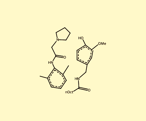 CCCCCCCCC(=O)NCc1ccc(O)c(OC)c1.Cc1cccc(C)c1NC(=O)CN1CCCC1